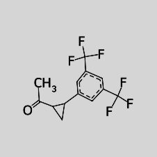 CC(=O)C1CC1c1cc(C(F)(F)F)cc(C(F)(F)F)c1